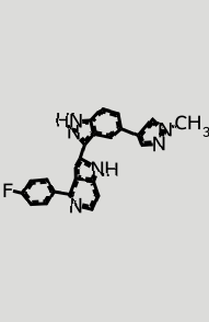 Cn1cc(-c2ccc3[nH]nc(-c4cc5c(-c6ccc(F)cc6)nccc5[nH]4)c3c2)cn1